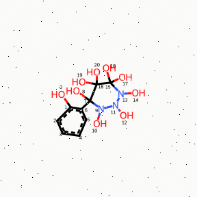 Oc1ccccc1C1(O)N(O)N(O)N(O)C(O)(O)C1(O)O